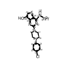 CCCNc1nc(N2CCN(c3ccc(Cl)cc3)CC2)nc2c(O)csc12